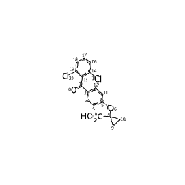 O=C(c1ccc(OC2(C(=O)O)CC2)cc1)c1c(Cl)cccc1Cl